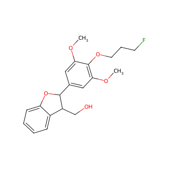 COc1cc(C2Oc3ccccc3C2CO)cc(OC)c1OCCCF